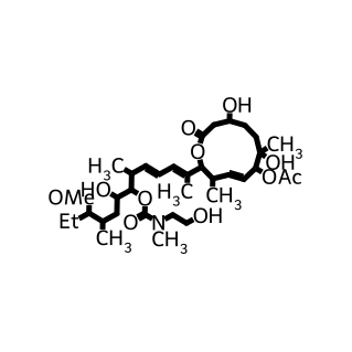 CCC(OC)C(C)CC(O)C(OC(=O)N(C)CCO)C(C)/C=C/C=C(\C)C1OC(=O)CC(O)CCC(C)(O)C(OC(C)=O)/C=C/C1C